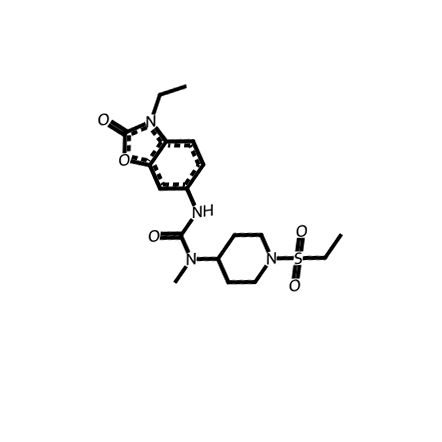 CCn1c(=O)oc2cc(NC(=O)N(C)C3CCN(S(=O)(=O)CC)CC3)ccc21